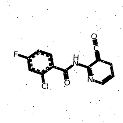 O=C=C1CC=CN=C1NC(=O)c1ccc(F)cc1Cl